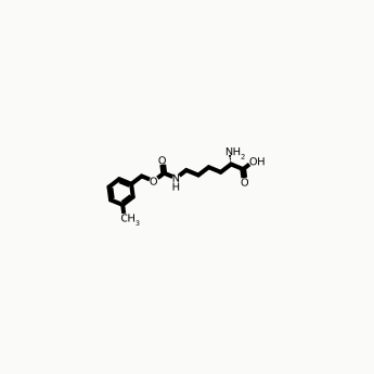 Cc1cccc(COC(=O)NCCCC[C@H](N)C(=O)O)c1